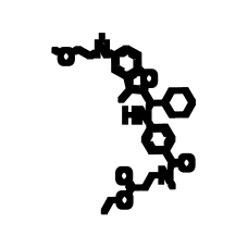 CCOC(=O)CCN(C)C(=O)c1ccc(NC(c2oc3ccc(N(C)CCOC)cc3c2C)C2CCCCC2)cc1